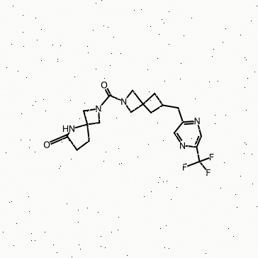 O=C1CCC2(CN(C(=O)N3CC4(CC(Cc5cnc(C(F)(F)F)cn5)C4)C3)C2)N1